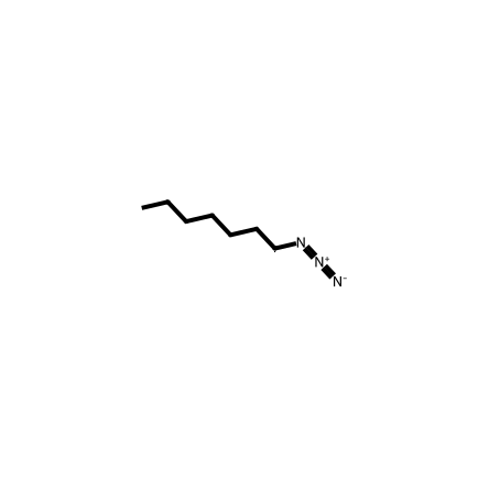 CCCCCC[CH]N=[N+]=[N-]